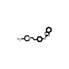 NC1CCN(CCc2ccc(Oc3nc4ccccc4s3)cc2)CC1